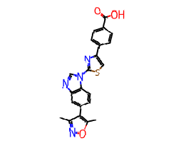 Cc1noc(C)c1-c1ccc2c(c1)ncn2-c1nc(-c2ccc(C(=O)O)cc2)cs1